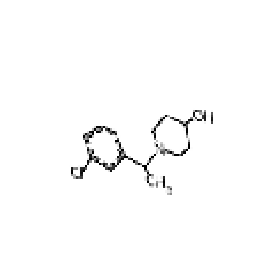 CC(c1cccc(Cl)c1)N1CCC(O)CC1